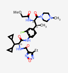 CCc1nonc1C(=O)N[C@H](C(=O)Nc1ccc([C@H](C)[C@@H](NC(=O)COC)C(=O)N2CCN(C)CC2)cc1F)C(C1CC1)C1CC1